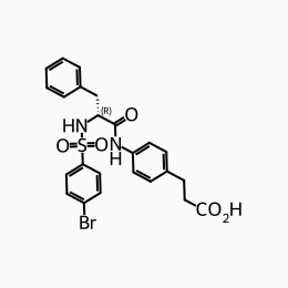 O=C(O)CCc1ccc(NC(=O)[C@@H](Cc2ccccc2)NS(=O)(=O)c2ccc(Br)cc2)cc1